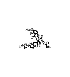 CCN1CCN(c2ccc3c(n2)C=C([C@]2(CN4Cc5ccc(OC)c(F)c5C4=O)NC(=O)N(COC(=O)C(C)(C)C)C2=O)CO3)CC1